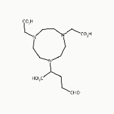 O=[C]CCC(C(=O)O)N1CCN(CC(=O)O)CCN(CC(=O)O)CC1